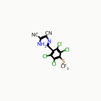 N#CC(N)=C(C#N)N=Cc1c(Cl)c(Cl)c(SC(F)(F)F)c(Cl)c1Cl